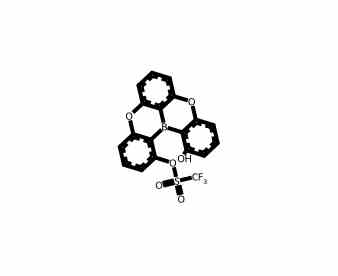 O=S(=O)(Oc1cccc2c1B1c3c(O)cccc3Oc3cccc(c31)O2)C(F)(F)F